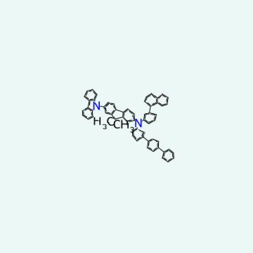 CC1(C)c2cc(N(c3cccc(-c4ccc(-c5ccccc5)cc4)c3)c3cccc(-c4cccc5ccccc45)c3)ccc2-c2ccc(-n3c4ccccc4c4ccccc43)cc21